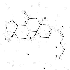 CCC/C=C\[C@@H]1CC[C@]2(C)C3CC[C@]4(C)CCCC4C3C(=O)C[C@@]2(O)C1